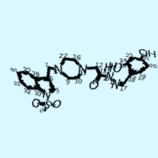 CS(=O)(=O)n1cc(CN2CCN(CC(=O)N/N=C\c3ccc(O)cc3O)CC2)c2ccccc21